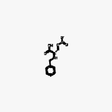 O=C(O)[C@H](CO[N+](=O)[O-])NCc1ccccc1